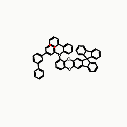 c1ccc(-c2cccc(-c3cccc(N(c4ccccc4-c4ccccc4)c4cccc5c4Oc4cc6c(cc4O5)-c4ccccc4C64c5ccccc5-c5ccccc54)c3)c2)cc1